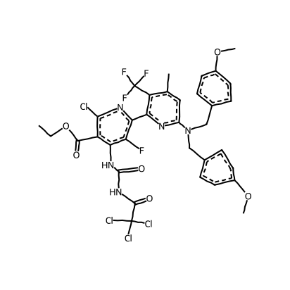 CCOC(=O)c1c(Cl)nc(-c2nc(N(Cc3ccc(OC)cc3)Cc3ccc(OC)cc3)cc(C)c2C(F)(F)F)c(F)c1NC(=O)NC(=O)C(Cl)(Cl)Cl